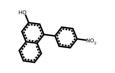 O=[N+]([O-])c1ccc(-c2cc(O)cc3ccccc23)cc1